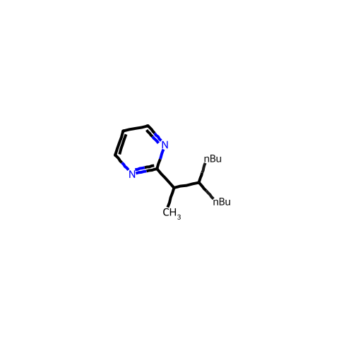 CCCCC(CCCC)C(C)c1ncccn1